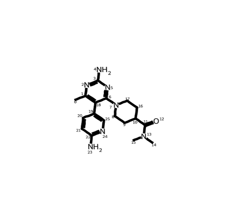 Cc1nc(N)nc(N2CCC(C(=O)N(C)C)CC2)c1-c1ccc(N)nc1